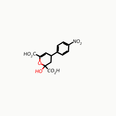 O=C(O)C1=CC(c2ccc([N+](=O)[O-])cc2)CC(O)(C(=O)O)O1